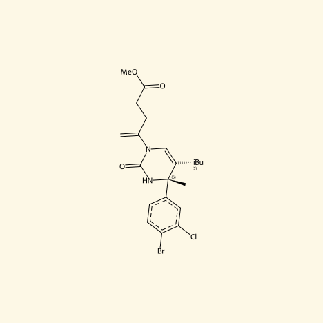 C=C(CCC(=O)OC)N1C=C([C@@H](C)CC)[C@](C)(c2ccc(Br)c(Cl)c2)NC1=O